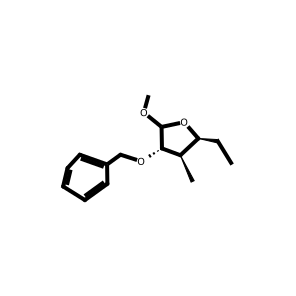 CC[C@@H]1OC(OC)[C@@H](OCc2ccccc2)[C@@H]1C